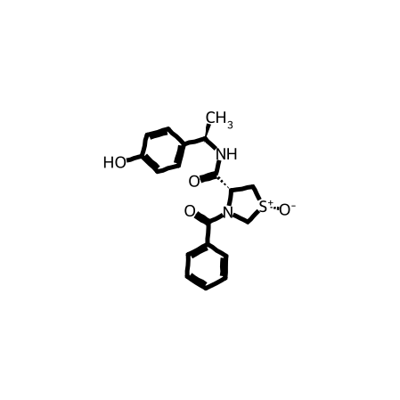 C[C@@H](NC(=O)[C@@H]1C[S@+]([O-])CN1C(=O)c1ccccc1)c1ccc(O)cc1